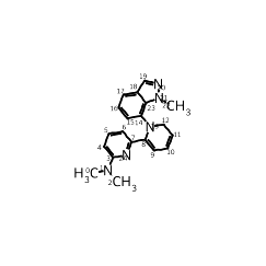 CN(C)c1cccc(C2=CC=CCN2c2cccc3cnn(C)c23)n1